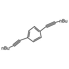 CCCCC#Cc1ccc(C#CCCCC)cc1